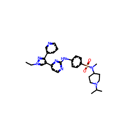 CCn1cc(-c2ccnc(Nc3ccc(S(=O)(=O)N(C)C4CCN(C(C)C)CC4)cc3)n2)c(-c2cccnc2)n1